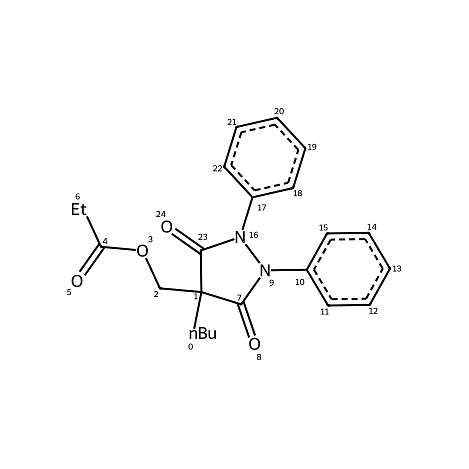 CCCCC1(COC(=O)CC)C(=O)N(c2ccccc2)N(c2ccccc2)C1=O